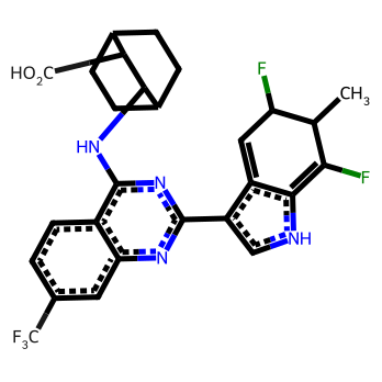 CC1C(F)=c2[nH]cc(-c3nc(NC4C5CCC(CC5)C4C(=O)O)c4ccc(C(F)(F)F)cc4n3)c2=CC1F